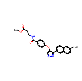 COc1ccc2cc(-c3n[nH]cc3Oc3ccc(C(=O)NCCC(=O)OC(C)(C)C)cc3)ccc2c1